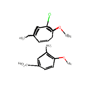 CCCCOc1ccc(C(=O)O)cc1Cl.CCCCOc1ccc(C(=O)O)cc1[N+](=O)[O-]